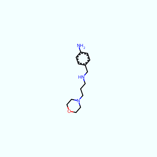 Nc1ccc(CNCCCN2CCOCC2)cc1